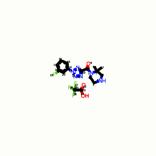 CC1(C)CNCCN1C(=O)c1nnn(-c2cccc(F)c2)n1.O=C(O)C(F)(F)F